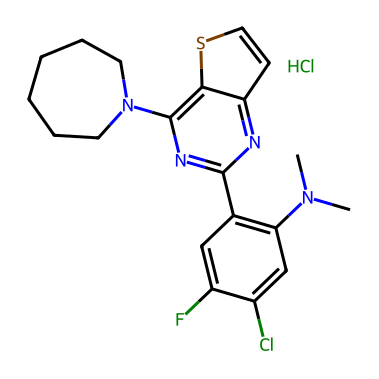 CN(C)c1cc(Cl)c(F)cc1-c1nc(N2CCCCCC2)c2sccc2n1.Cl